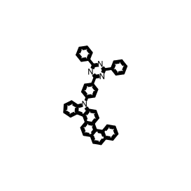 c1ccc(-c2nc(-c3ccccc3)nc(-c3ccc(-n4c5ccccc5c5c6ccc7ccc8ccccc8c7c6ccc54)cc3)n2)cc1